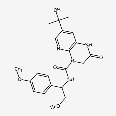 COCC(NC(=O)N1CC(=O)Nc2cc(C(C)(C)O)cnc21)c1ccc(OC(F)(F)F)cc1